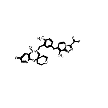 Cc1ccc(Cc2ccn3c(C(F)F)nnc3c2C)cc1CN1CC2(CCOCC2)Oc2ncc(F)cc2[S+]1[O-]